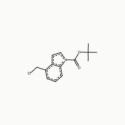 CC(C)(C)OC(=O)n1ccc2c(CCl)cccc21